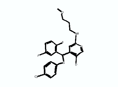 COCCCNc1cc(C(Sc2ccc(Cl)cc2)c2cc(F)ccc2F)c(Cl)cn1